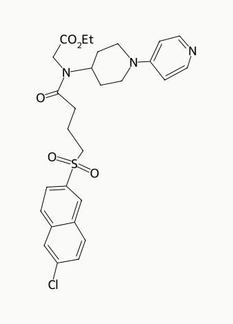 CCOC(=O)CN(C(=O)CCCS(=O)(=O)c1ccc2cc(Cl)ccc2c1)C1CCN(c2ccncc2)CC1